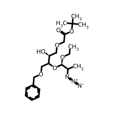 CCO[C@H](OC(COCc1ccccc1)[C@@H](O)COCC(=O)OC(C)(C)C)C(C)N=[N+]=[N-]